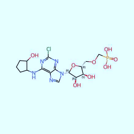 O=P(O)(O)COC[C@H]1O[C@@H](n2cnc3c(NC4CCCC4O)nc(Cl)nc32)[C@H](O)[C@@H]1O